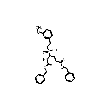 COc1cccc(CCP(=O)(O)C(CCC(=O)OCc2ccccc2)NC(=O)OCc2ccccc2)c1